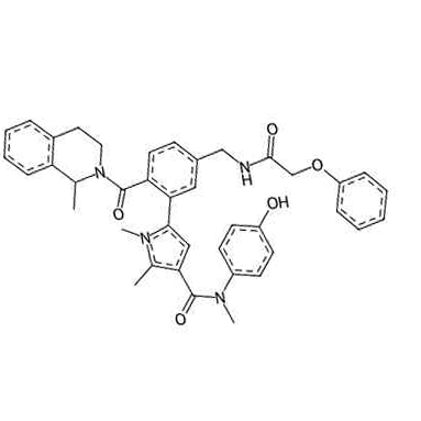 Cc1c(C(=O)N(C)c2ccc(O)cc2)cc(-c2cc(CNC(=O)COc3ccccc3)ccc2C(=O)N2CCc3ccccc3C2C)n1C